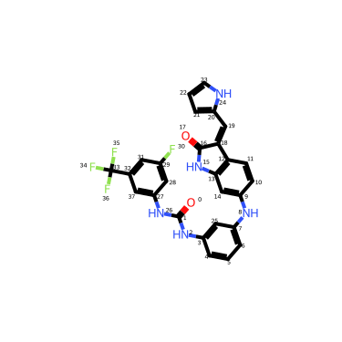 O=C(Nc1cccc(Nc2ccc3c(c2)NC(=O)C3=Cc2ccc[nH]2)c1)Nc1cc(F)cc(C(F)(F)F)c1